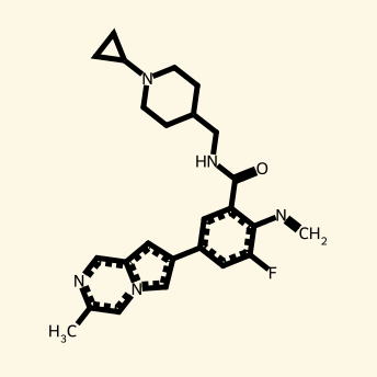 C=Nc1c(F)cc(-c2cc3cnc(C)cn3c2)cc1C(=O)NCC1CCN(C2CC2)CC1